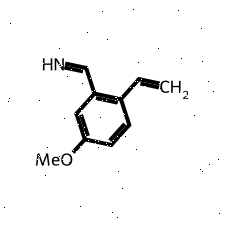 C=Cc1ccc(OC)cc1C=N